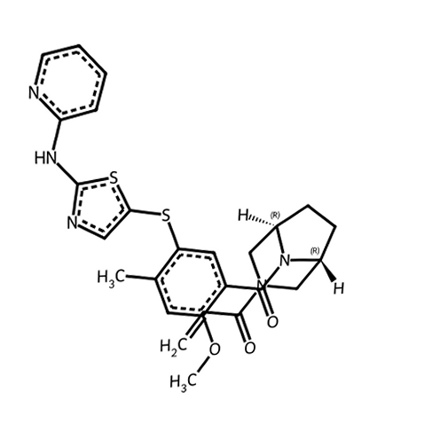 C=CC(=O)N1C[C@H]2CC[C@H](C1)N2C(=O)c1cc(Sc2cnc(Nc3ccccn3)s2)c(C)cc1OC